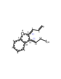 C=C/C=c1/oc2ccccc2/c1=C/CI